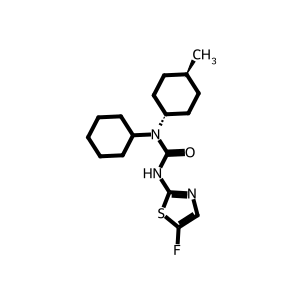 C[C@H]1CC[C@H](N(C(=O)Nc2ncc(F)s2)C2CCCCC2)CC1